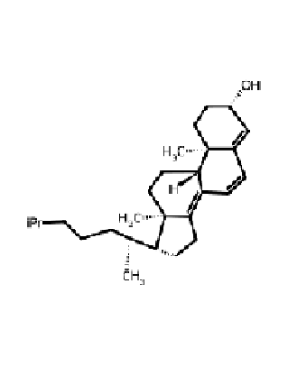 CC(C)CCC[C@@H](C)[C@H]1CCC2=C3C=CC4=C[C@@H](O)CC[C@]4(C)[C@H]3CC[C@@]21C